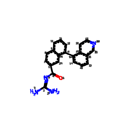 NC(N)=NC(=O)c1ccc2cccc(-c3cccc4cnccc34)c2c1